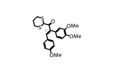 COc1ccc(/C=C(/C(=O)C2SCCCS2)c2ccc(OC)c(OC)c2)cc1